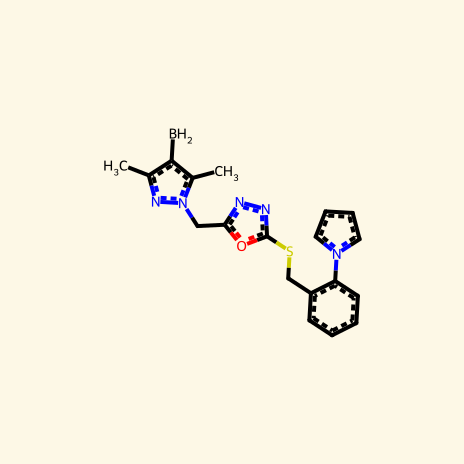 Bc1c(C)nn(Cc2nnc(SCc3ccccc3-n3cccc3)o2)c1C